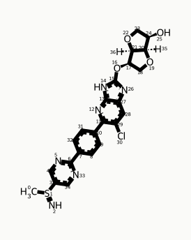 CS(=N)c1cnc(-c2ccc(-c3nc4[nH]c(O[C@@H]5CO[C@H]6[C@@H]5OC[C@H]6O)nc4cc3Cl)cc2)nc1